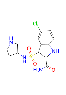 NC(=O)C1Nc2ccc(Cl)cc2C1S(=O)(=O)NC1CCNC1